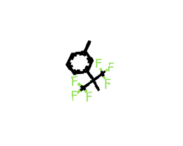 Cc1cccc(C(C)(C(F)(F)F)C(F)(F)F)c1